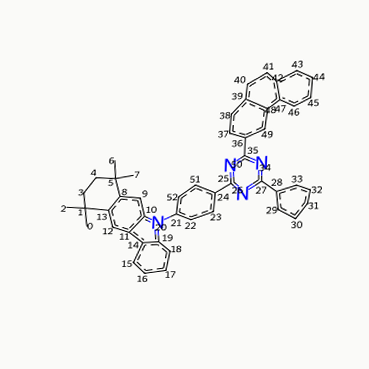 CC1(C)CCC(C)(C)c2cc3c(cc21)c1ccccc1n3-c1ccc(-c2nc(-c3ccccc3)nc(-c3ccc4ccc5ccccc5c4c3)n2)cc1